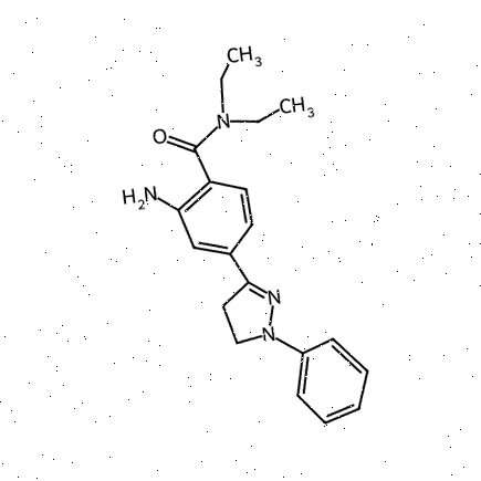 CCN(CC)C(=O)c1ccc(C2=NN(c3ccccc3)CC2)cc1N